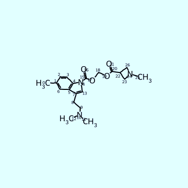 Cc1ccc2c(c1)c(CCN(C)C)cn2C(=O)OCOC(=O)C1CN(C)C1